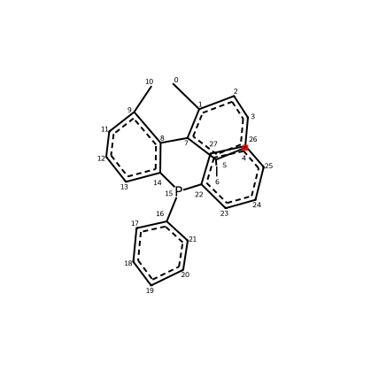 Cc1cccc(I)c1-c1c(C)cccc1P(c1ccccc1)c1ccccc1